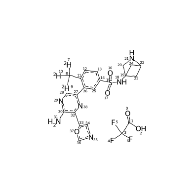 O=C(O)C(F)(F)F.[2H]C([2H])([2H])c1ccc(S(=O)(=O)NC23CNC(C2)C3)cc1-c1cnc(N)c(-c2cnco2)n1